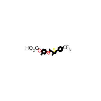 Cc1cc(OC(C)c2sc(-c3ccc(C(F)(F)F)cc3)cc2C)ccc1OCC(=O)O